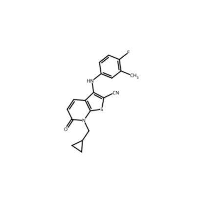 Cc1cc(Nc2c(C#N)sc3c2ccc(=O)n3CC2CC2)ccc1F